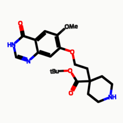 COc1cc2c(=O)[nH]cnc2cc1OCCC1(C(=O)OC(C)(C)C)CCNCC1